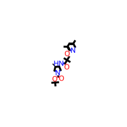 Cc1cnc(OCC(C)(C)C(=O)N[C@@H]2CN(C(=O)OC(C)(C)C)C[C@H]2C)c(C)c1